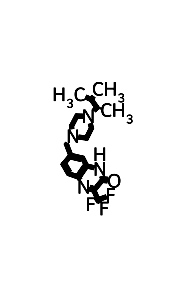 CC(C)[C@H](C)N1CCN(Cc2ccc3nc(C(F)(F)F)c(=O)[nH]c3c2)CC1